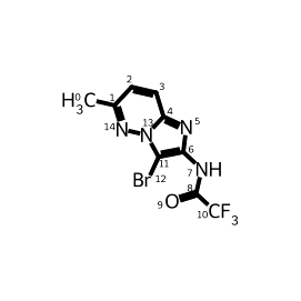 Cc1ccc2nc(NC(=O)C(F)(F)F)c(Br)n2n1